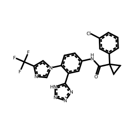 O=C(Nc1ccc(-n2cnc(C(F)(F)F)c2)c(-c2nnn[nH]2)c1)C1(c2cccc(Cl)c2)CC1